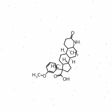 COc1cccc(C2(C(=O)O)CC[C@H]3[C@@H]4CCC5NC(=O)CC[C@]5(C)[C@@H]4CC[C@@]32C)c1